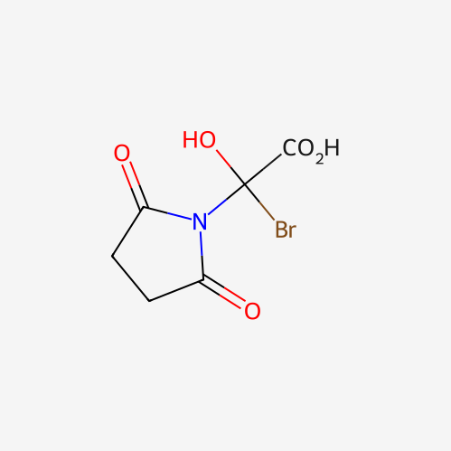 O=C1CCC(=O)N1C(O)(Br)C(=O)O